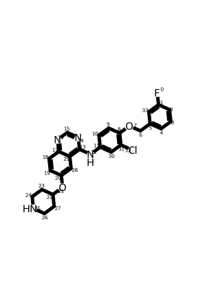 Fc1cccc(COc2ccc(Nc3ncnc4ccc(OC5CCNCC5)cc34)cc2Cl)c1